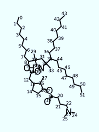 CCCCCCCCC(OC(=O)CC1CCC(OC(=O)CCCN(C)C)C1C)C(C)(C)CC(C)(N)C(CCCCCCCC)CCCCCCCC